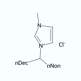 CCCCCCCCCCC(CCCCCCCCC)[n+]1ccn(C)c1.[Cl-]